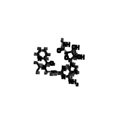 CNC(=O)[C@H]1O[C@@H](n2cnc3c(N)nc(C#CCN(C(=O)c4ccccn4)C(C)C)nc32)[C@H](O)C1O